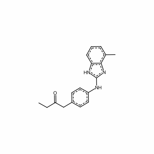 CCC(=O)Cc1ccc(Nc2nc3c(C)cccc3[nH]2)cc1